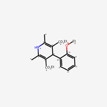 CCOC(=O)C1=C(C)NC(C)=C(C(=O)OCC)C1c1ccccc1OCC